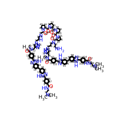 CN(C)CCNC(=O)c1ccc(-c2nc3ccc(-c4ccc5nc(-c6ccc(C(=O)N(C)Cc7cn(CCCNCC(=O)N8CCC[C@H]8C(=O)N8CCC[C@H]8C(=O)N8CCC[C@H]8C(=O)N8CCC[C@H]8C(=O)N(CCN)CCCn8cc(CN(C)C(=O)c9ccc(-c%10nc%11ccc(-c%12ccc%13nc(-c%14ccc(C(=O)NCCN(C)C)cc%14)[nH]c%13c%12)cc%11[nH]%10)cc9)nn8)nn7)cc6)[nH]c5c4)cc3[nH]2)cc1